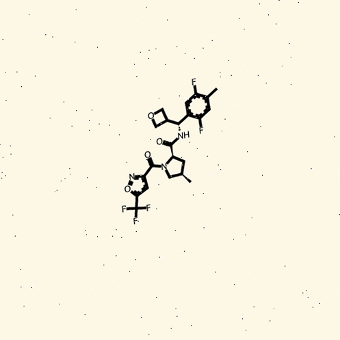 Cc1cc(F)c([C@H](NC(=O)[C@H]2C[C@@H](C)CN2C(=O)c2cc(C(F)(F)F)on2)C2COC2)cc1F